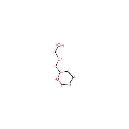 OCOCC1CCCCO1